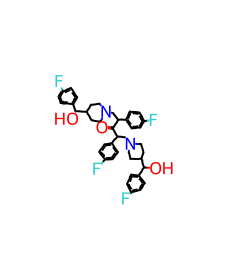 O=C(C(CN1CCC(C(O)c2ccc(F)cc2)CC1)c1ccc(F)cc1)C(CN1CCC(C(O)c2ccc(F)cc2)CC1)c1ccc(F)cc1